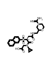 N=C(N)N1CCOC(CNC(=O)C[C@@H](C(=O)N(CC(=O)O)C2CC2)S(=O)(=O)c2ccc3ccccc3c2)C1